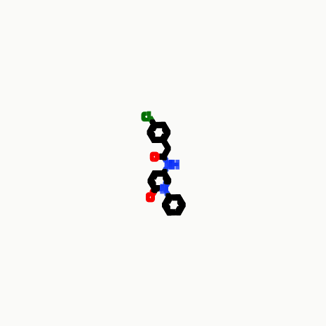 O=C(Cc1ccc(Cl)cc1)Nc1ccc(=O)n(-c2ccccc2)c1